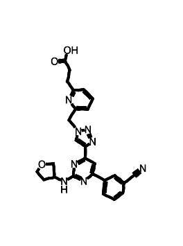 N#Cc1cccc(-c2cc(-c3cn(Cc4cccc(CCC(=O)O)n4)nn3)nc(NC3CCOC3)n2)c1